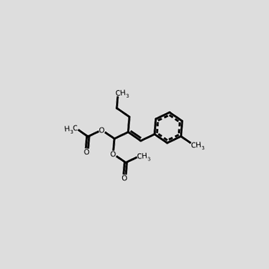 CCC/C(=C\c1cccc(C)c1)C(OC(C)=O)OC(C)=O